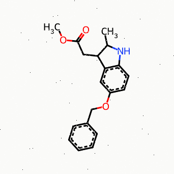 COC(=O)CC1c2cc(OCc3ccccc3)ccc2NC1C